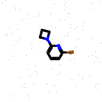 Sc1cccc(N2CCC2)n1